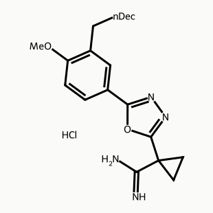 CCCCCCCCCCCc1cc(-c2nnc(C3(C(=N)N)CC3)o2)ccc1OC.Cl